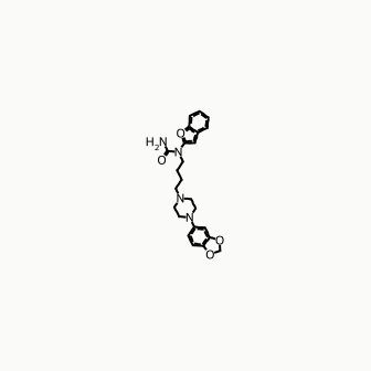 NC(=O)N(CCCCN1CCN(c2ccc3c(c2)OCO3)CC1)c1cc2ccccc2o1